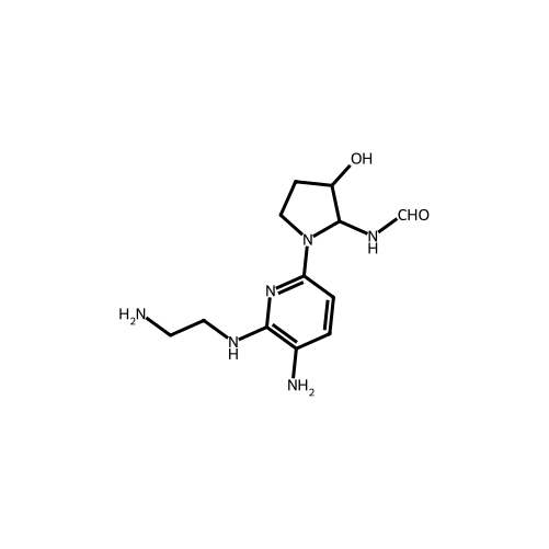 NCCNc1nc(N2CCC(O)C2NC=O)ccc1N